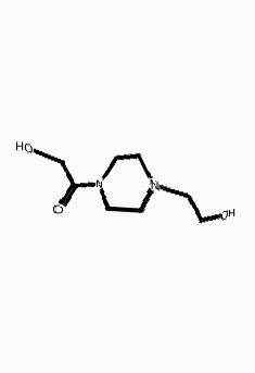 O=C(CO)N1CCN(CCO)CC1